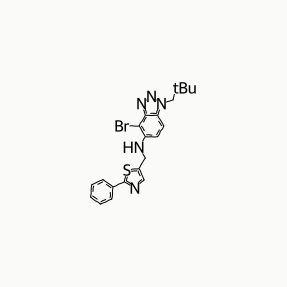 CC(C)(C)Cn1nnc2c(Br)c(NCc3cnc(-c4ccccc4)s3)ccc21